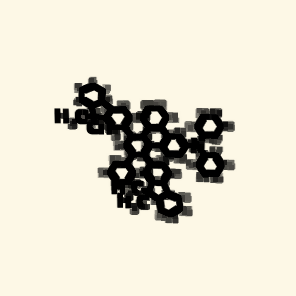 CC1(C)c2ccccc2-c2ccc(-c3cc(-c4ccccc4)c(-c4ccc5c(c4)C(C)(C)c4ccccc4-5)c4c3c3c(c5cc(N(C6=CCCC=C6)c6ccccc6)ccc54)CCC=C3)cc21